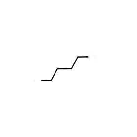 [O]CCCCBr